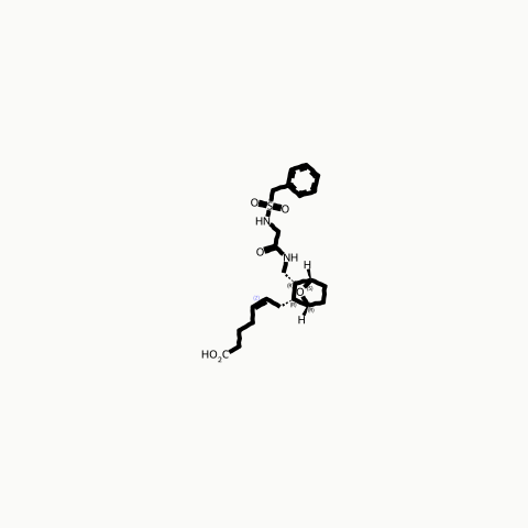 O=C(O)CCC/C=C\C[C@@H]1[C@H](CNC(=O)CNS(=O)(=O)Cc2ccccc2)[C@@H]2CC[C@H]1O2